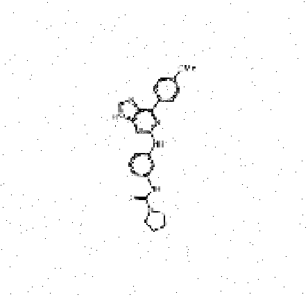 COc1ccc(-c2nc(Nc3cccc(NC(=O)N4CCCC4)c3)nc3[nH]cnc23)cc1